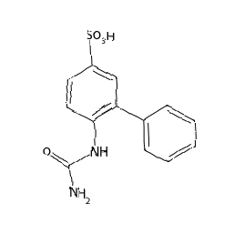 NC(=O)Nc1ccc(S(=O)(=O)O)cc1-c1ccccc1